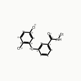 CCNC(=O)c1cccc(Oc2cc(Cl)ccc2Cl)c1